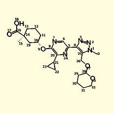 Cn1nnc(-c2cnc(O[C@H]3CCC[C@](C)(C(=O)O)C3)c(C3CC3)n2)c1COC1CCCCO1